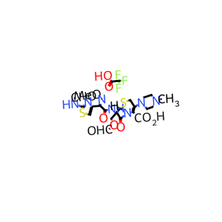 CON=C(C(=O)NC1(COC=O)C(=O)N2C(C(=O)O)=C(N3CCN(C)CC3)CS[C@H]21)c1csc(NC=O)n1.O=C(O)C(F)(F)F